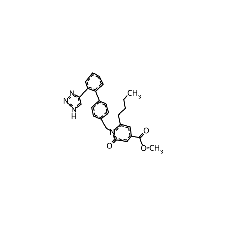 CCCCc1cc(C(=O)OC)cc(=O)n1Cc1ccc(-c2ccccc2-c2c[nH]nn2)cc1